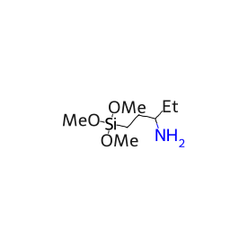 CCC(N)CC[Si](OC)(OC)OC